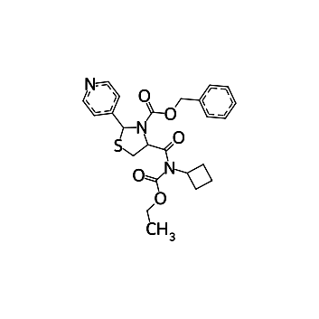 CCOC(=O)N(C(=O)C1CSC(c2ccncc2)N1C(=O)OCc1ccccc1)C1CCC1